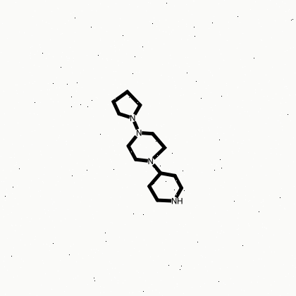 C1CCN(N2CCN(C3CCNCC3)CC2)C1